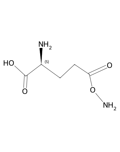 NOC(=O)CC[C@H](N)C(=O)O